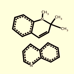 CN1c2ccccc2C=CC1(C)C.c1ccc2ncccc2c1